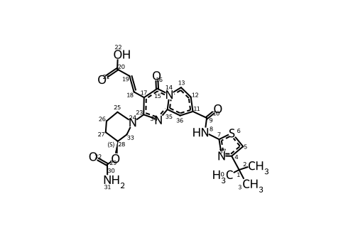 CC(C)(C)c1csc(NC(=O)c2ccn3c(=O)c(C=CC(=O)O)c(N4CCC[C@H](OC(N)=O)C4)nc3c2)n1